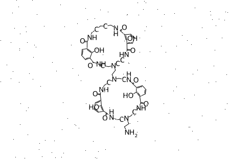 NCCN1CCNC(=O)c2cccc(c2O)C(=O)NCCN(CCN2CCNC(=O)c3cccc(c3O)C(=O)NCCCCCNC(=O)c3cccc(c3O)C(=O)NCC2)CCNC(=O)c2cccc(c2O)C(=O)NCC1